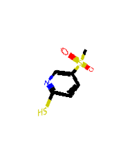 CS(=O)(=O)c1ccc(S)nc1